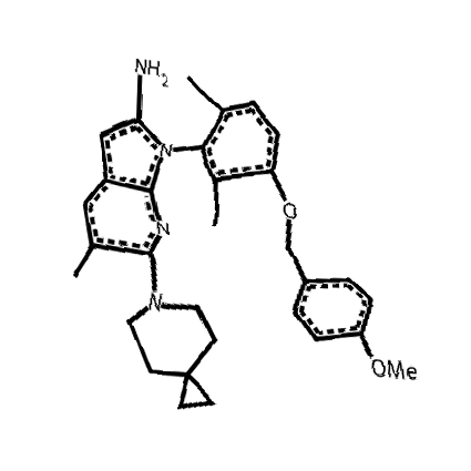 COc1ccc(COc2ccc(C)c(-n3c(N)cc4cc(C)c(N5CCC6(CC5)CC6)nc43)c2C)cc1